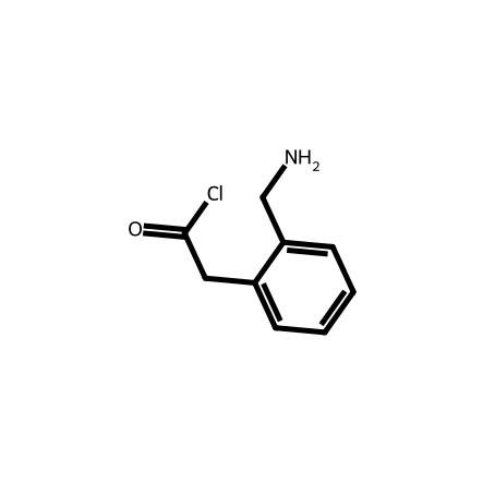 NCc1ccccc1CC(=O)Cl